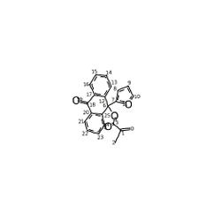 C=C(C)C(=O)OC1(c2ccco2)c2ccccc2C(=O)c2ccccc21